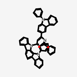 c1ccc(-c2nc(-c3ccc4c(c3)c3ccccc3n4-c3ccccc3)cc(-n3c4ccccc4c4ccc5c6ccccc6n(-c6ccccc6)c5c43)n2)cc1